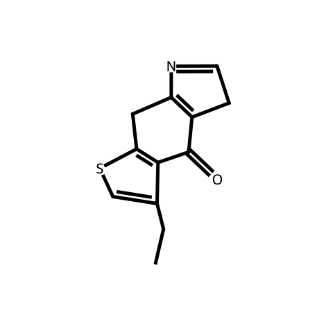 CCc1csc2c1C(=O)C1=C(C2)N=CC1